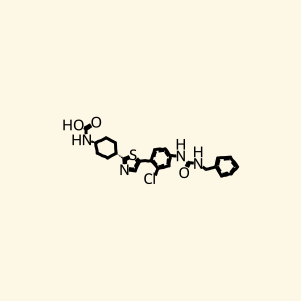 O=C(NCc1ccccc1)Nc1ccc(-c2cnc([C@H]3CC[C@H](NC(=O)O)CC3)s2)c(Cl)c1